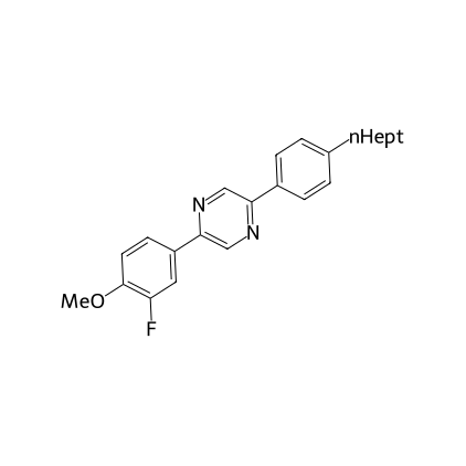 CCCCCCCc1ccc(-c2cnc(-c3ccc(OC)c(F)c3)cn2)cc1